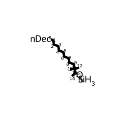 CCCCCCCCCCCCCCCCCCCC(C)(C)C(C)O[SiH3]